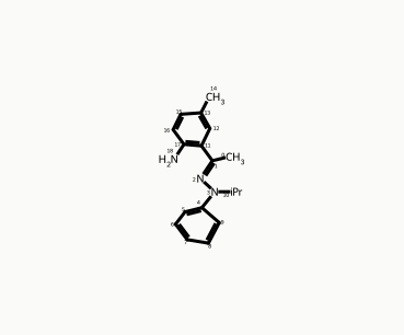 C/C(=N\N(c1ccccc1)C(C)C)c1cc(C)ccc1N